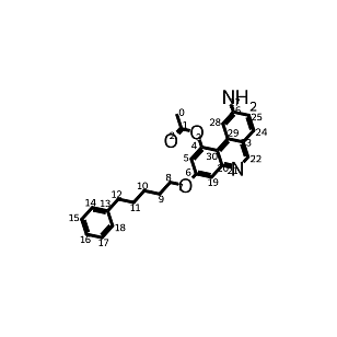 CC(=O)Oc1cc(OCCCCCc2ccccc2)cc2ncc3ccc(N)cc3c12